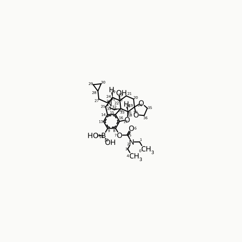 CCN(CC)C(=O)Oc1c(B(O)O)cc2c3c1O[C@H]1C4(CC[C@@]5(O)[C@@H](C2)N(CC2CC2)CC[C@]315)OCCO4